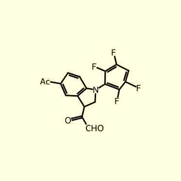 CC(=O)c1ccc2c(c1)C(C(=O)C=O)CN2c1c(F)c(F)cc(F)c1F